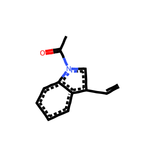 C=[C]c1cn(C(C)=O)c2ccccc12